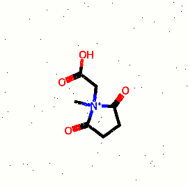 C[N+]1(CC(=O)O)C(=O)CCC1=O